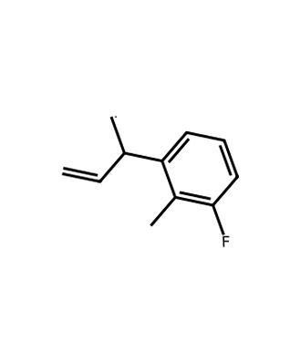 [CH2]C(C=C)c1cccc(F)c1C